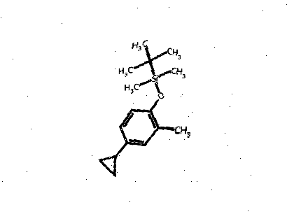 Cc1cc(C2CC2)ccc1O[Si](C)(C)C(C)(C)C